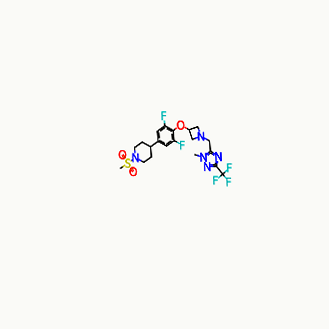 Cn1nc(C(F)(F)F)nc1CN1CC(Oc2c(F)cc(C3CCN(S(C)(=O)=O)CC3)cc2F)C1